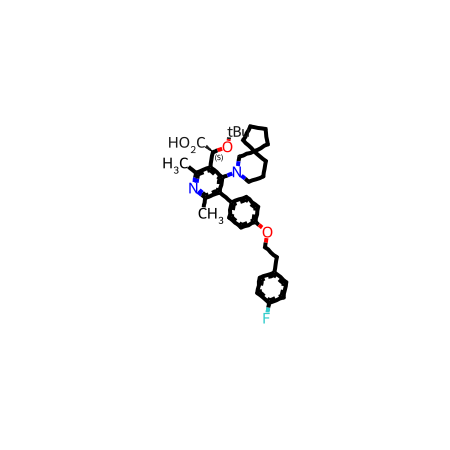 Cc1nc(C)c([C@H](OC(C)(C)C)C(=O)O)c(N2CCCC3(CCCC3)C2)c1-c1ccc(OCCc2ccc(F)cc2)cc1